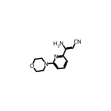 N#CC=C(N)c1cccc(N2CCOCC2)n1